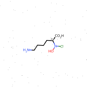 NCCCC[C@@H](C(=O)O)N(O)Cl